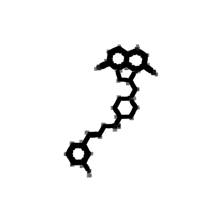 O=c1ccc2ncc(=O)n3c2n1CC3CN1CCC(NCC=Cc2cccc(F)c2)CC1